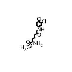 COC(=O)[C@@H](N)CCCC(=O)CNc1ccc(Cl)c(Cl)c1